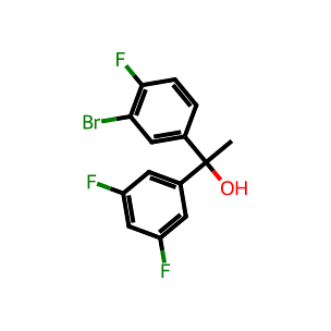 CC(O)(c1cc(F)cc(F)c1)c1ccc(F)c(Br)c1